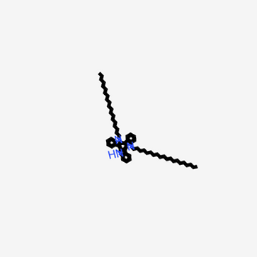 CCCCCCCCCCCCCCCCCCCCn1c2ccccc2c2c3[nH]c4ccccc4c3c3c(c4ccccc4n3CCCCCCCCCCCCCCCCCCCC)c21